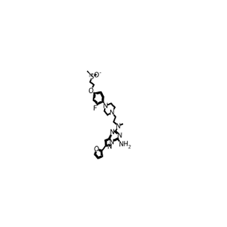 CN(CCN1CCN(c2ccc(OCC[S@@+](C)[O-])cc2F)CC1)c1nc(N)n2nc(-c3ccco3)cc2n1